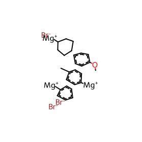 COc1ccccc1.Cc1cc[c]([Mg+])cc1.[Br-].[Br-].[Br-].[Mg+][CH]1CCCCC1.[Mg+][c]1ccccc1